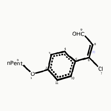 CCCCCOc1ccc(/C(Cl)=C\C=O)cc1